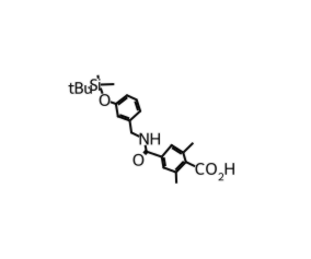 Cc1cc(C(=O)NCc2cccc(O[Si](C)(C)C(C)(C)C)c2)cc(C)c1C(=O)O